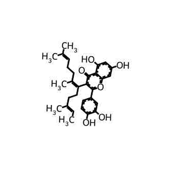 CC=C(C)CCC(=C(C)CCC=C(C)C)c1c(-c2ccc(O)c(O)c2)oc2cc(O)cc(O)c2c1=O